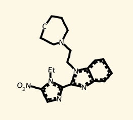 CCn1c([N+](=O)[O-])cnc1-c1nc2ccccc2n1CCN1CCCCCC1